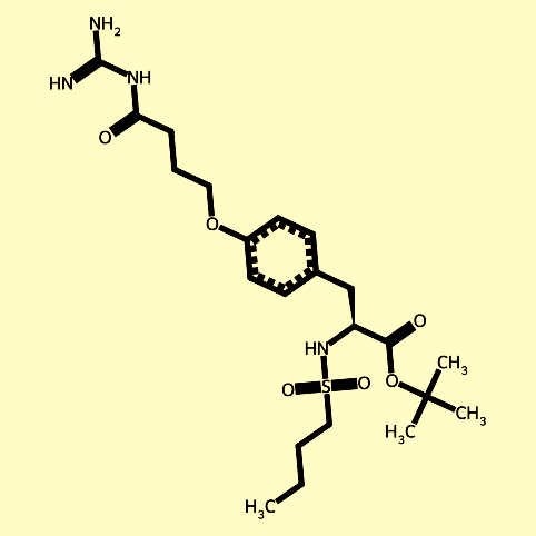 CCCCS(=O)(=O)N[C@@H](Cc1ccc(OCCCC(=O)NC(=N)N)cc1)C(=O)OC(C)(C)C